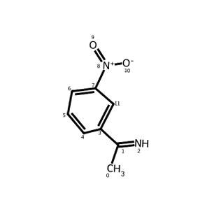 CC(=N)c1cccc([N+](=O)[O-])c1